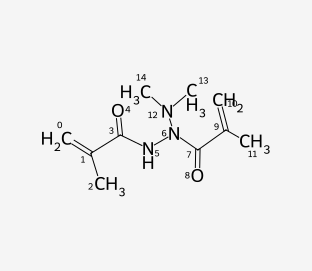 C=C(C)C(=O)NN(C(=O)C(=C)C)N(C)C